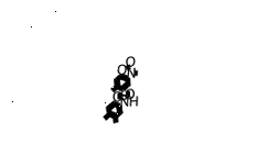 Cc1ccc(NS(=O)(=O)c2cc3c(cc2C)oc(=O)n3C)cc1C